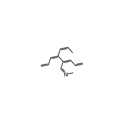 C=C/C=C(/C=C\C)C(\C=N/C)=C\C=C